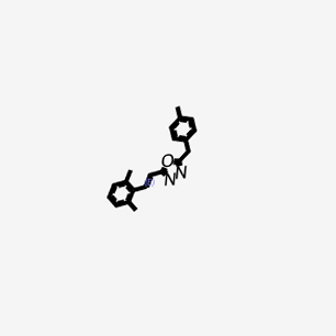 Cc1ccc(Cc2nnc(/C=C/c3c(C)cccc3C)o2)cc1